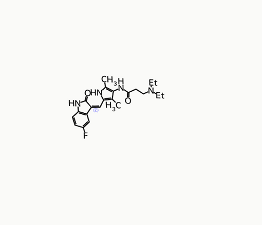 CCN(CC)CCC(=O)Nc1c(C)[nH]c(/C=C2\C(=O)Nc3ccc(F)cc32)c1C